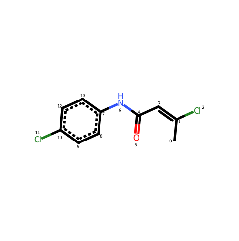 C/C(Cl)=C\C(=O)Nc1ccc(Cl)cc1